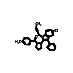 CC#CCn1c(C2CCCN2C(=O)c2ccc(C)cc2)c(-c2ccccc2)c2cc(Cl)ccc21